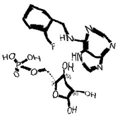 Fc1ccccc1CNc1ncnc2nc[nH]c12.O=P(O)(O)OC[C@H]1OC(O)[C@H](O)[C@@H]1O